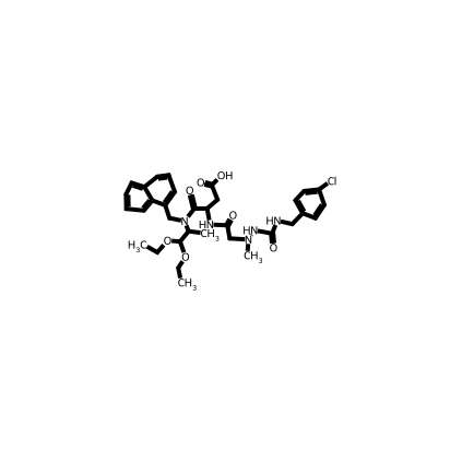 CCOC(OCC)C(C)N(Cc1cccc2ccccc12)C(=O)C(CC(=O)O)NC(=O)CN(C)NC(=O)NCc1ccc(Cl)cc1